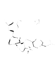 COc1cc(-c2ccc3ncc(S(C)(=O)=O)c(NC4CCC(CN(C)C)CC4)c3n2)cc(Cl)c1O.Cl.Cl